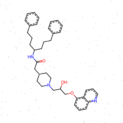 O=C(CC1CCN(CC(O)COc2cccc3ncccc23)CC1)NC(CCCc1ccccc1)CCCc1ccccc1